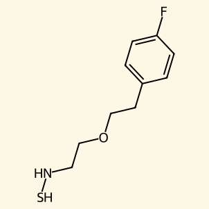 Fc1ccc(CCOCCNS)cc1